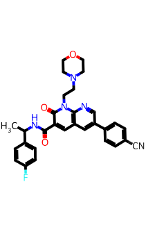 CC(NC(=O)c1cc2cc(-c3ccc(C#N)cc3)cnc2n(CCN2CCOCC2)c1=O)c1ccc(F)cc1